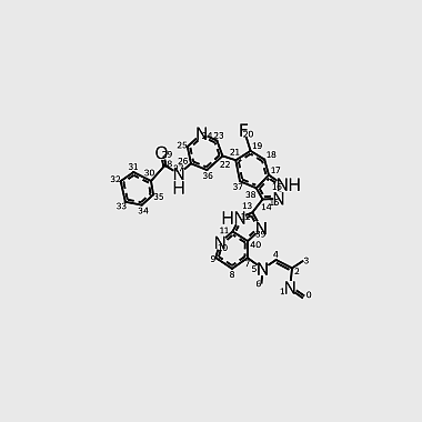 C=N/C(C)=C\N(C)c1ccnc2[nH]c(-c3n[nH]c4cc(F)c(-c5cncc(NC(=O)c6ccccc6)c5)cc34)nc12